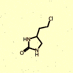 O=C1NCC(CCCl)N1